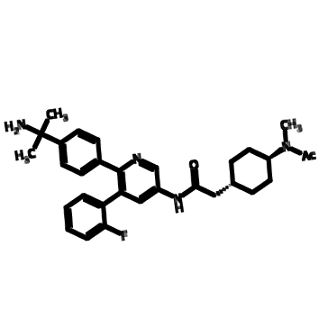 CC(=O)N(C)[C@H]1CC[C@H](CC(=O)Nc2cnc(-c3ccc(C(C)(C)N)cc3)c(-c3ccccc3F)c2)CC1